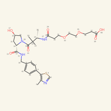 Cc1ncsc1-c1ccc(CNC(=O)[C@@H]2C[C@@H](O)CN2C(=O)C(C)(C)[C@H](C)NC(=O)CCOCCOCCC(=O)O)cc1